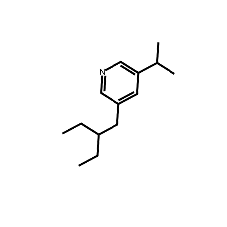 CCC(CC)Cc1cncc(C(C)C)c1